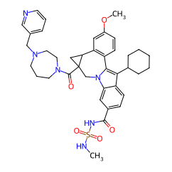 CNS(=O)(=O)NC(=O)c1ccc2c(C3CCCCC3)c3n(c2c1)CC1(C(=O)N2CCCN(Cc4cccnc4)CC2)CC1c1cc(OC)ccc1-3